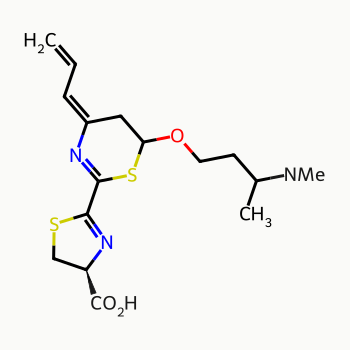 C=C/C=C1\CC(OCCC(C)NC)SC(C2=N[C@@H](C(=O)O)CS2)=N1